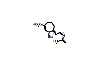 C=C(N)/N=C\N=C1/CCCC(C(=O)O)=CN1C(C)CC